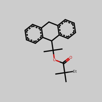 CCC(C)(C)C(=O)OC(C)(C)C1c2ccccc2Cc2ccccc21